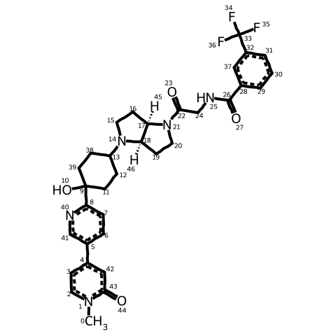 Cn1ccc(-c2ccc(C3(O)CCC(N4CC[C@@H]5[C@H]4CCN5C(=O)CNC(=O)c4cccc(C(F)(F)F)c4)CC3)nc2)cc1=O